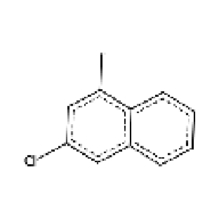 [CH2]c1cc(Cl)cc2ccccc12